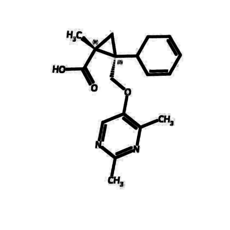 Cc1ncc(OC[C@@]2(C3C=CC=CC3)C[C@@]2(C)C(=O)O)c(C)n1